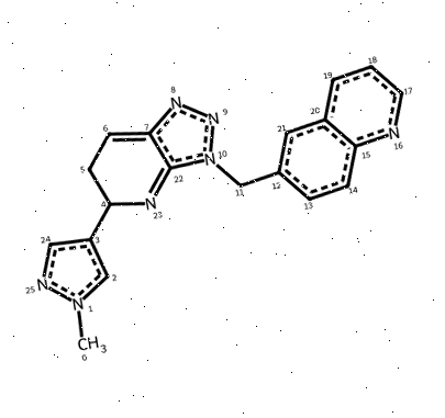 Cn1cc(C2CC=c3nnn(Cc4ccc5ncccc5c4)c3=N2)cn1